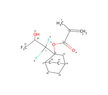 C=C(C)C(=O)OC1(C(F)(F)C(O)C(F)(F)F)CC2CCC1CC2